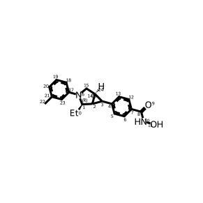 CC[C@@H]1C2C(c3ccc(C(=O)NO)cc3)[C@@H]2CN1c1cccc(C)c1